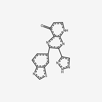 O=c1cc[nH]c2nc(-c3cn[nH]n3)c(-c3ccc4ncsc4c3)nc12